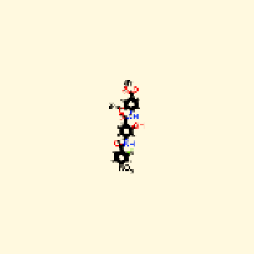 CC(C)OC(=O)c1ccc(NC(=O)c2ccc(NC(=O)c3ccc([N+](=O)[O-])cc3F)cc2O)c(OC(C)C)c1